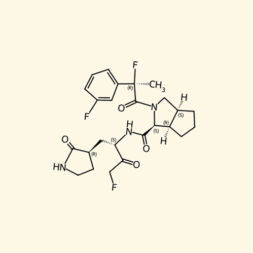 C[C@](F)(C(=O)N1C[C@H]2CCC[C@H]2[C@H]1C(=O)N[C@@H](C[C@H]1CCNC1=O)C(=O)CF)c1cccc(F)c1